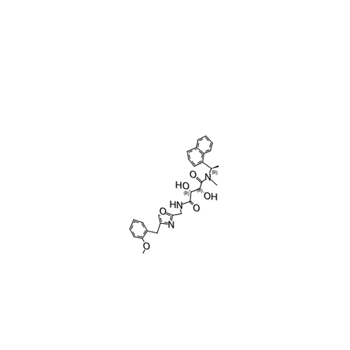 COc1ccccc1Cc1coc(CNC(=O)[C@H](O)[C@@H](O)C(=O)N(C)[C@H](C)c2cccc3ccccc23)n1